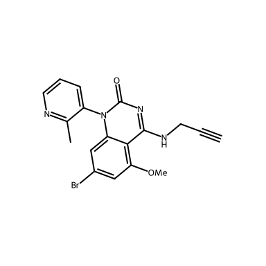 C#CCNc1nc(=O)n(-c2cccnc2C)c2cc(Br)cc(OC)c12